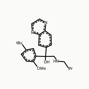 COc1ccc(C(C)(C)C)cc1C(O)(CNCC(C)C)c1ccc2nccnc2c1